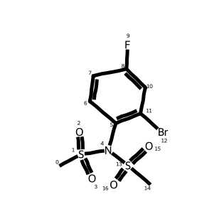 CS(=O)(=O)N(c1ccc(F)cc1Br)S(C)(=O)=O